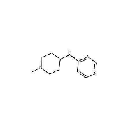 CN1CCC(Nc2ccncn2)CC1